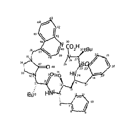 CCC(C)[C@@H](C(=O)N[C@@H](Cc1ccccc1)[C@@H](O)C[C@H](Cc1ccccc1)NC(=O)[C@@H](N(C)C(=O)O)C(C)(C)C)N1CCN(Cc2ccnc3ccccc23)C1=O